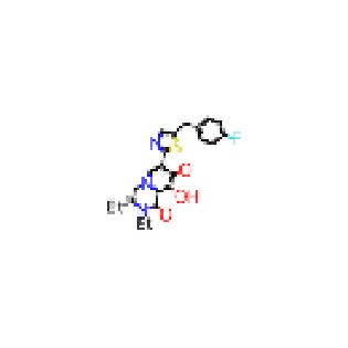 CC[C@@H]1Cn2cc(-c3ncc(Cc4ccc(F)cc4)s3)c(=O)c(O)c2C(=O)N1CC